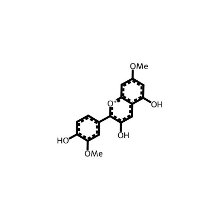 COc1cc(O)c2cc(O)c(-c3ccc(O)c(OC)c3)[o+]c2c1